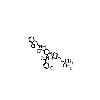 CN(C)CCN1CCN(c2ccc(C(=O)NCCc3ccccc3Cl)cc2NC(=O)c2cccc(Cl)c2)CC1